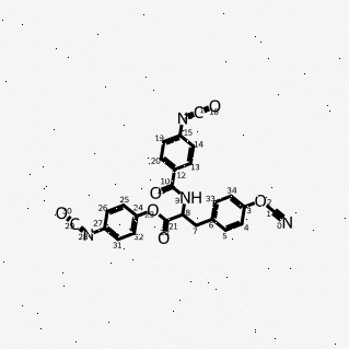 N#COc1ccc(CC(NC(=O)c2ccc(N=C=O)cc2)C(=O)Oc2ccc(N=C=O)cc2)cc1